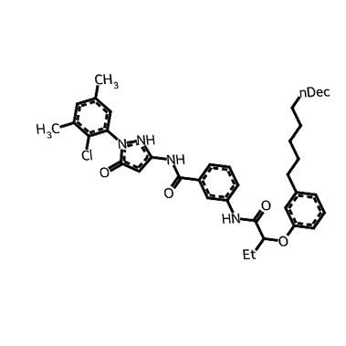 CCCCCCCCCCCCCCCc1cccc(OC(CC)C(=O)Nc2cccc(C(=O)Nc3cc(=O)n(-c4cc(C)cc(C)c4Cl)[nH]3)c2)c1